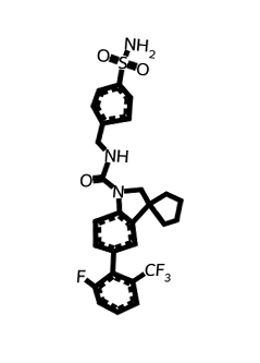 NS(=O)(=O)c1ccc(CNC(=O)N2CC3(CCCC3)c3cc(-c4c(F)cccc4C(F)(F)F)ccc32)cc1